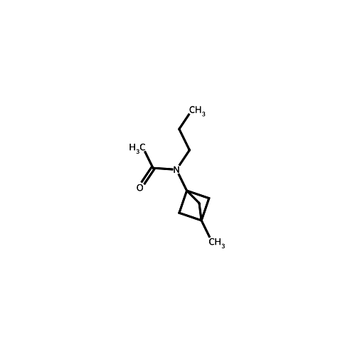 CCCN(C(C)=O)C12CC(C)(C1)C2